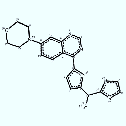 CC(c1ccc(-c2ncnc3cc(N4CCOCC4)ccc23)s1)c1nccs1